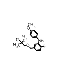 COc1ccc(Nc2cc(COCC(C)(C)Cl)ccc2F)cc1